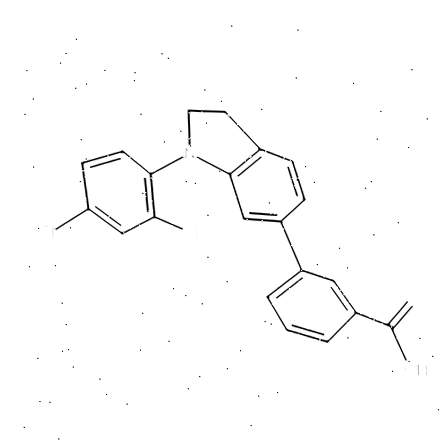 O=C(O)c1cccc(-c2ccc3c(c2)N(c2ccc(Cl)cc2Cl)CC3)c1